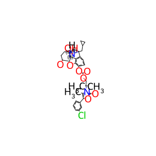 Cc1c(-c2cccc(Cl)c2)oc(=O)n1C(C)(C)COC(=O)Oc1ccc2c3c1OC1C(=O)CC[C@@]4(O)[C@@H](C2)N(CC2CC2)C[C@]314